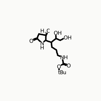 CC1CC(=O)NC1C(CCCNC(=O)OC(C)(C)C)C(O)CO